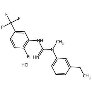 CCc1cccc(N(C)C(=N)Nc2cc(C(F)(F)F)ccc2Br)c1.Cl